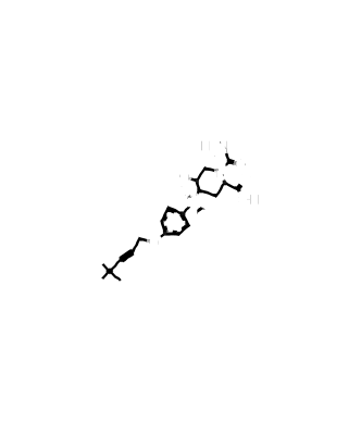 CC(C)(C)C#CCOc1ccc(S(=O)(=O)C2CC(C(=O)O)N(C(N)=O)CC2O)cc1